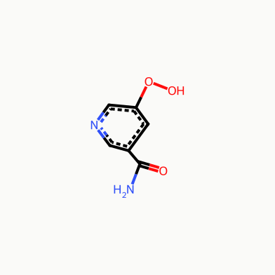 NC(=O)c1cncc(OO)c1